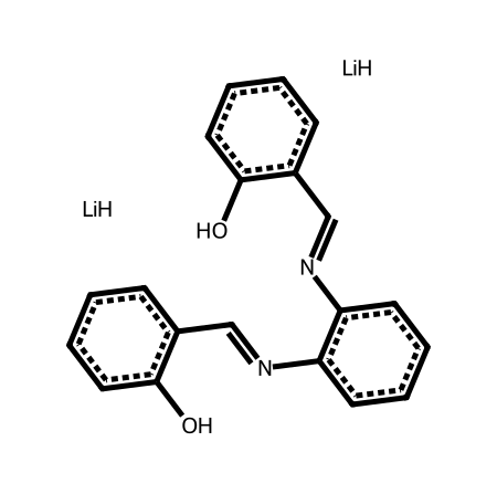 Oc1ccccc1C=Nc1ccccc1N=Cc1ccccc1O.[LiH].[LiH]